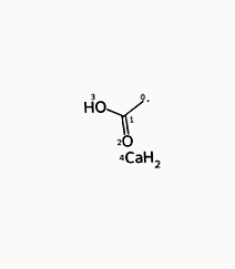 [CH2]C(=O)O.[CaH2]